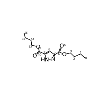 CCCCOC(=O)c1cc(C(=O)OCCCC)[nH]n1